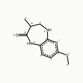 COc1ccc2c(n1)NCC(C)C(=O)N2